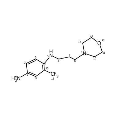 Nc1ccc(NCCCN2CCOCC2)c(C(F)(F)F)c1